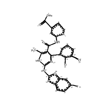 COC(=O)c1ccnc(NC(=O)C2=C(C)NC(Nc3nc4ccc(F)cc4o3)=NC2c2cccc(Cl)c2Cl)c1